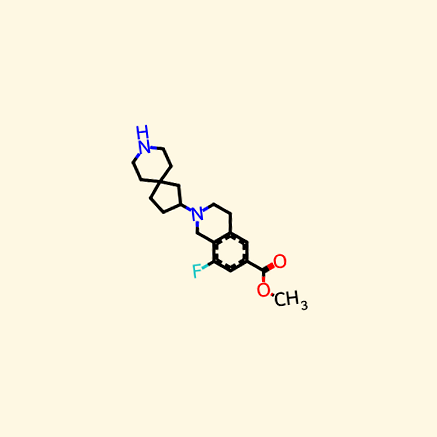 COC(=O)c1cc(F)c2c(c1)CCN(C1CCC3(CCNCC3)C1)C2